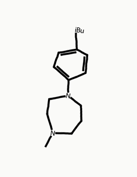 CCC(C)c1ccc(N2CCCN(C)CC2)cc1